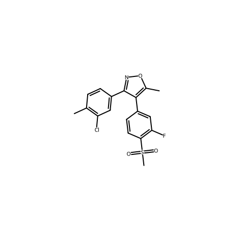 Cc1ccc(-c2noc(C)c2-c2ccc(S(C)(=O)=O)c(F)c2)cc1Cl